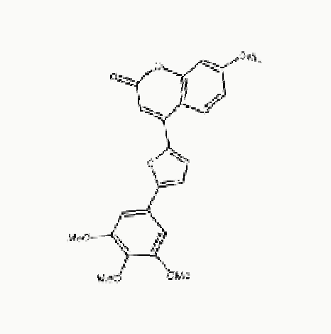 COc1ccc2c(-c3ccc(-c4cc(OC)c(OC)c(OC)c4)o3)cc(=O)oc2c1